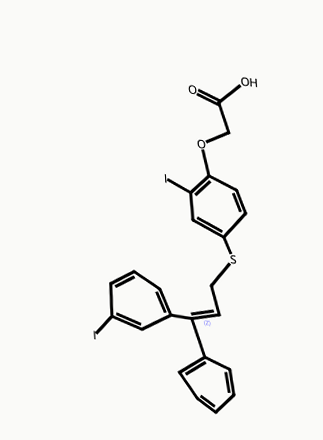 O=C(O)COc1ccc(SC/C=C(/c2ccccc2)c2cccc(I)c2)cc1I